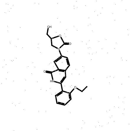 CCOc1ccccc1-c1cc2ccc(N3CC(CO)OC3=O)cc2c(=O)[nH]1